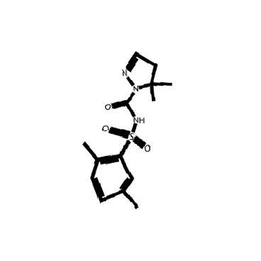 Cc1ccc(C)c(S(=O)(=O)NC(=O)N2N=CCC2(C)C)c1